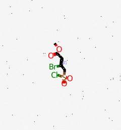 COC(=O)/C=C(\Br)CS(=O)(=O)Cl